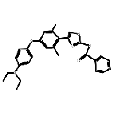 CCN(CC)c1ccc(Sc2cc(C)c(-c3csc(NC(=O)c4ccncc4)n3)c(C)c2)cc1